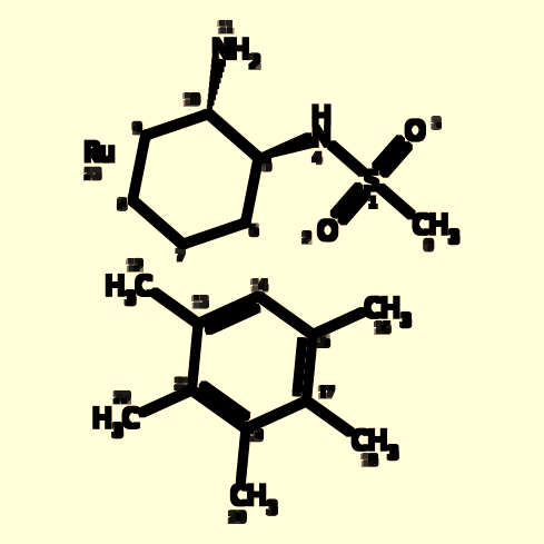 CS(=O)(=O)N[C@H]1CCCC[C@@H]1N.Cc1cc(C)c(C)c(C)c1C.[Ru]